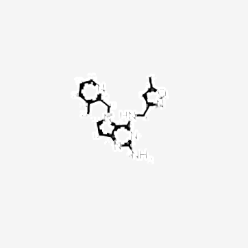 Cc1cc(CNc2nc(N)nc3ccn(Cc4ncccc4C)c23)no1